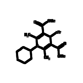 CCCC1C(C(=O)OC)=C(C)N(C2CCCCC2)C(C)=C1C(=O)OC